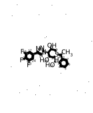 CC(c1ccccc1)[SH]1C[C@H](O)[C@H](n2cc(-c3cc(F)c(F)c(F)c3)nn2)[C@@H](O)[C@H]1CO